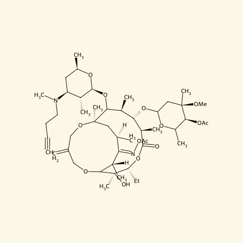 C#CCCN(C)[C@H]1C[C@@H](C)O[C@@H](OC2[C@@H](C)[C@H](OC3C[C@@](C)(OC)[C@@H](OC(C)=O)C(C)O3)[C@@H](C)C(=O)O[C@H](CC)[C@@](C)(O)C3OCC(=C)CO[C@]2(C)C[C@@H](C)/C(=N\OC(C)=O)[C@@H]3C)[C@@H]1C